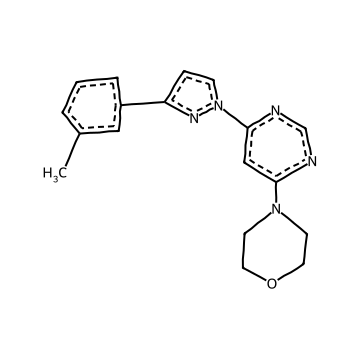 Cc1cccc(-c2ccn(-c3cc(N4CCOCC4)ncn3)n2)c1